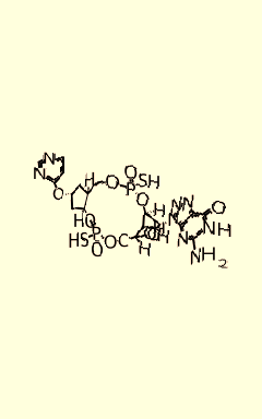 Nc1nc2c(nnn2[C@@H]2O[C@@H]3COP(=O)(S)O[C@H]4C[C@H](Oc5ccncn5)C[C@@H]4COP(=O)(S)O[C@@H]2[C@@H]3O)c(=O)[nH]1